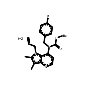 C=CCn1c(C)c(C)c2nccc(N(Cc3ccc(F)cc3)C(=O)OC(C)(C)C)c21.Cl